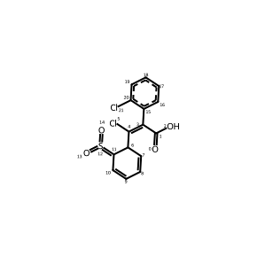 O=C(O)C(=C(Cl)C1C=CC=CC1=S(=O)=O)c1ccccc1Cl